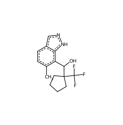 Cc1ccc2cn[nH]c2c1C(O)C1(C(F)(F)F)CCCC1